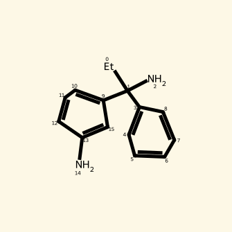 [CH2]CC(N)(c1ccccc1)c1cccc(N)c1